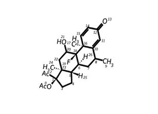 CC(=O)O[C@]1(C(C)=O)CC[C@H]2[C@@H]3CC(C)C4=CC(=O)C=C[C@]4(C)[C@@]3(F)C(O)C[C@@]21C